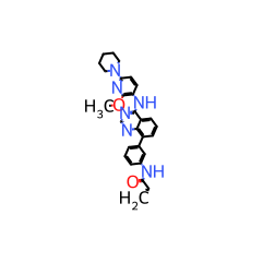 C=CC(=O)Nc1cccc(-c2cccc3c(Nc4ccc(N5CCCCC5)nc4OC)ncnc23)c1